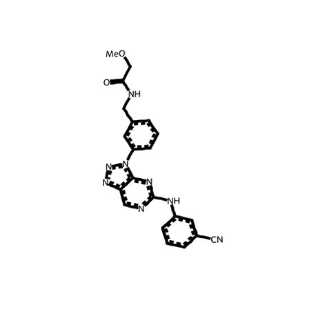 COCC(=O)NCc1cccc(-n2nnc3cnc(Nc4cccc(C#N)c4)nc32)c1